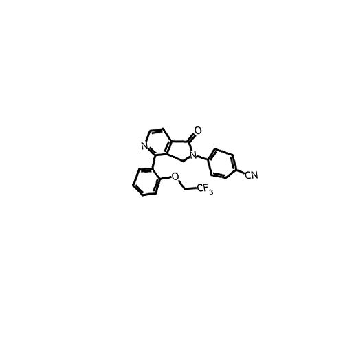 N#Cc1ccc(N2Cc3c(ccnc3-c3ccccc3OCC(F)(F)F)C2=O)cc1